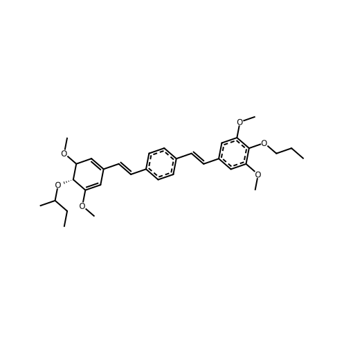 CCCOc1c(OC)cc(/C=C/c2ccc(/C=C/C3=CC(OC)[C@@H](OC(C)CC)C(OC)=C3)cc2)cc1OC